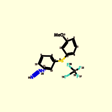 COc1cccc(Sc2ccccc2)c1.F[B-](F)(F)F.N#[NH+]